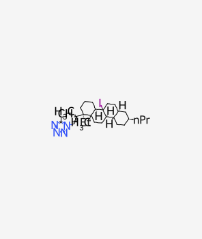 CCC[C@H]1CC[C@H]2[C@@H](CC[C@]3(I)[C@@H]2CC[C@@]2(C)[C@H]3CCC[C@]2(CC)[C@H](C)Cn2nnnc2C)C1